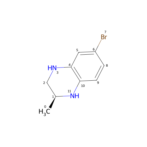 C[C@H]1CNc2cc(Br)ccc2N1